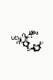 COC(=O)[C@@H]1C[C@H](Sc2cccc(Br)n2)CN1C(=O)OC(C)(C)C